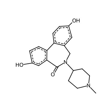 CN1CCC(N2Cc3cc(O)ccc3-c3ccc(O)cc3C2=O)CC1